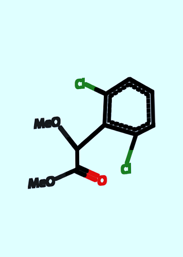 COC(=O)C(OC)c1c(Cl)cccc1Cl